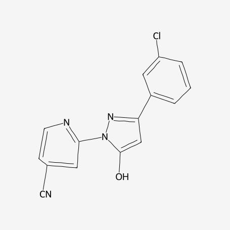 N#Cc1ccnc(-n2nc(-c3cccc(Cl)c3)cc2O)c1